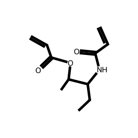 C=CC(=O)NC(CC)C(C)OC(=O)C=C